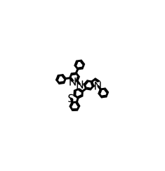 c1ccc(-c2cc(-c3ccccc3)nc(-n3c4cc5ccn(-c6ccccc6)c5cc4c4cc5c(cc43)sc3ccccc35)c2)cc1